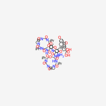 C[C@]12C=CC(=O)C=C1CC[C@@H]1[C@@H]2C(=O)C[C@@]2(C)[C@H]1CC[C@]2(O)C(=O)CO.Cc1c2oc3c(C)ccc(C(=O)N[C@@H]4C(=O)N[C@H](C(C)C)C(=O)N5CCC[C@H]5C(=O)N(C)CC(=O)N(C)[C@@H](C(C)C)C(=O)O[C@@H]4C)c3nc-2c(C(=O)N[C@@H]2C(=O)N[C@H](C(C)C)C(=O)N3CCC[C@H]3C(=O)N(C)CC(=O)N(C)[C@@H](C(C)C)C(=O)O[C@@H]2C)c(N)c1=O